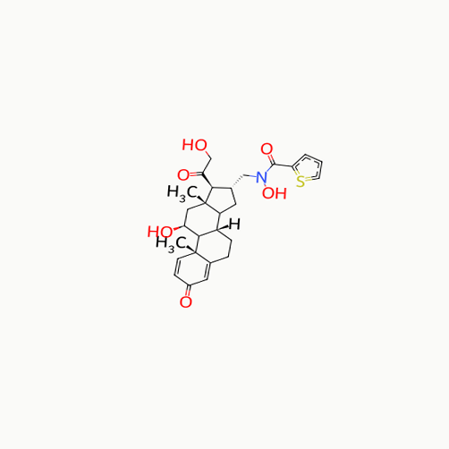 C[C@]12C=CC(=O)C=C1CC[C@@H]1C2[C@@H](O)C[C@@]2(C)C1C[C@@H](CN(O)C(=O)c1cccs1)[C@@H]2C(=O)CO